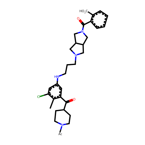 CC(=O)N1CCC(C(=O)c2cc(NCCCN3CC4CN(C(=O)c5ccccc5C(=O)O)CC4C3)cc(Cl)c2C)CC1